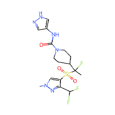 Cn1cc(S(=O)(=O)C(C)(F)C2CCN(C(=O)Nc3cn[nH]c3)CC2)c(C(F)F)n1